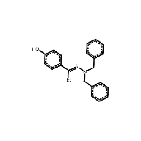 CC/C(=N\N(Cc1ccccc1)Cc1ccccc1)c1ccc(O)cc1